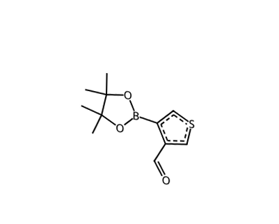 CC1(C)OB(c2cscc2C=O)OC1(C)C